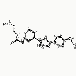 COCCOC(=O)Nc1cccc(-c2nc(-c3ccc(OC(F)(F)F)cc3)c[nH]2)c1